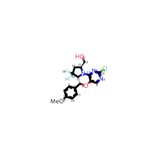 COc1ccc(COc2cnc(Cl)nc2N2CC(F)(F)C[C@H]2CO)cc1